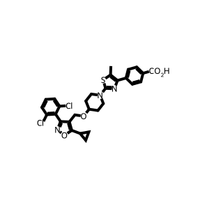 Cc1sc(N2CCC(OCc3c(-c4c(Cl)cccc4Cl)noc3C3CC3)CC2)nc1-c1ccc(C(=O)O)cc1